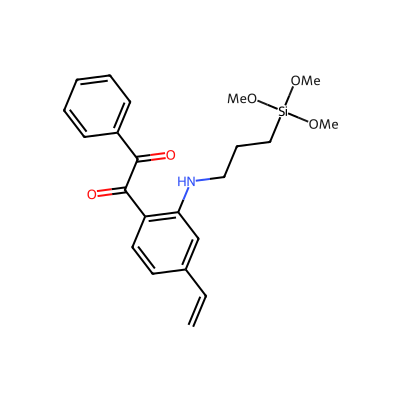 C=Cc1ccc(C(=O)C(=O)c2ccccc2)c(NCCC[Si](OC)(OC)OC)c1